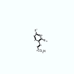 O=C(O)/C=C/c1ccc(F)nc1F